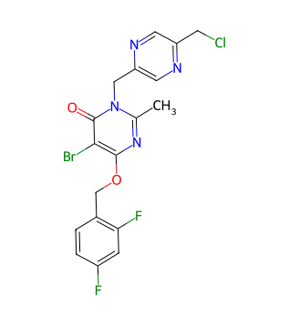 Cc1nc(OCc2ccc(F)cc2F)c(Br)c(=O)n1Cc1cnc(CCl)cn1